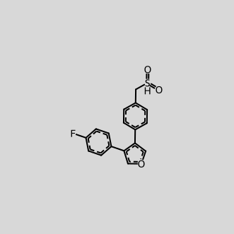 O=[SH](=O)Cc1ccc(-c2cocc2-c2ccc(F)cc2)cc1